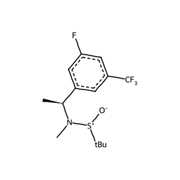 C[C@@H](c1cc(F)cc(C(F)(F)F)c1)N(C)[S+]([O-])C(C)(C)C